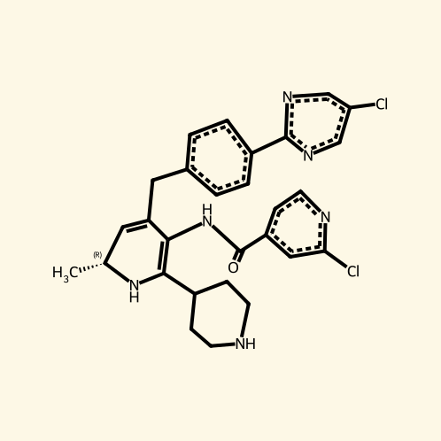 C[C@@H]1C=C(Cc2ccc(-c3ncc(Cl)cn3)cc2)C(NC(=O)c2ccnc(Cl)c2)=C(C2CCNCC2)N1